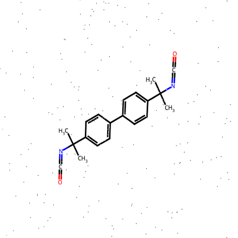 CC(C)(N=C=O)c1ccc(-c2ccc(C(C)(C)N=C=O)cc2)cc1